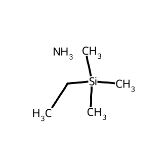 CC[Si](C)(C)C.N